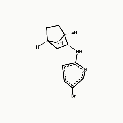 Brc1ccc(N[C@@H]2C[C@H]3CC[C@@H]2N3)nc1